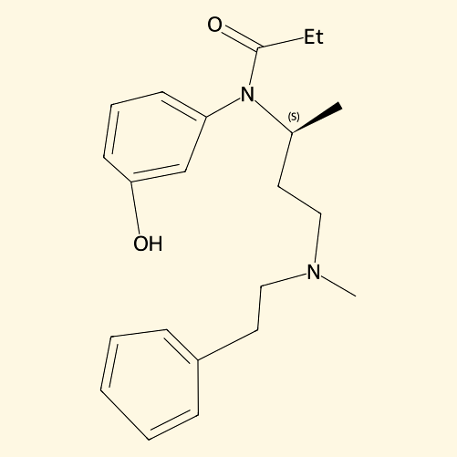 CCC(=O)N(c1cccc(O)c1)[C@@H](C)CCN(C)CCc1ccccc1